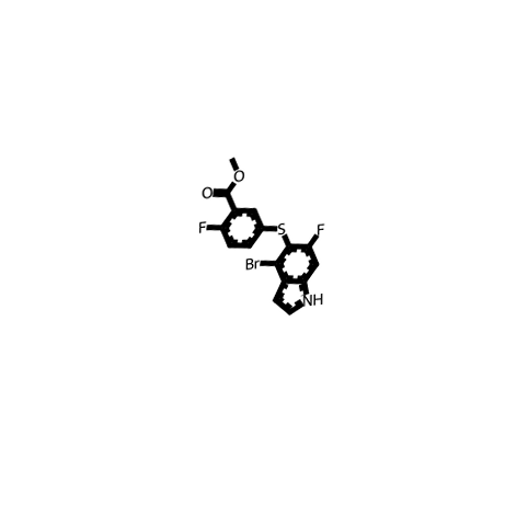 COC(=O)c1cc(Sc2c(F)cc3[nH]ccc3c2Br)ccc1F